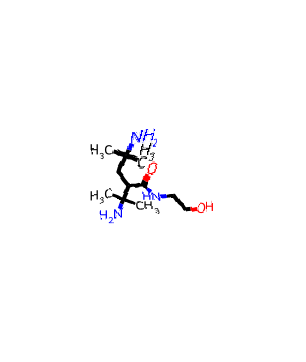 CC(C)(N)CC(C(=O)NCCO)C(C)(C)N